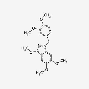 COc1ccc(Cn2nc(OC)c3cc(OC)c(OC)cc32)cc1OC